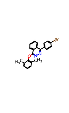 Cc1cccc(C)c1Oc1nnc(-c2ccc(Br)cc2)c2ccccc12